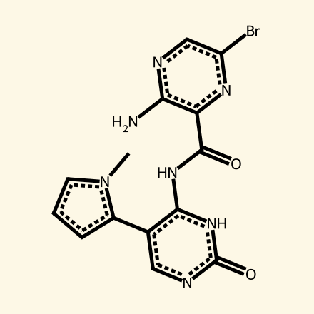 Cn1cccc1-c1cnc(=O)[nH]c1NC(=O)c1nc(Br)cnc1N